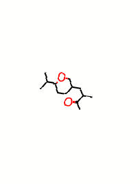 CC(=O)C(C)CC1CCC(C(C)C)OC1